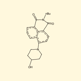 CCCCN1C(=O)c2cccc3c(N4CCC(O)CC4)ccc(c23)C1=O